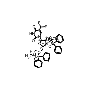 CC(C)(C)[Si](OC[C@H]1O[C@@H](n2cc(C(F)F)c(=O)[nH]c2=O)[C@@H](O)[C@@H]1O[Si](c1ccccc1)(c1ccccc1)C(C)(C)C)(c1ccccc1)c1ccccc1